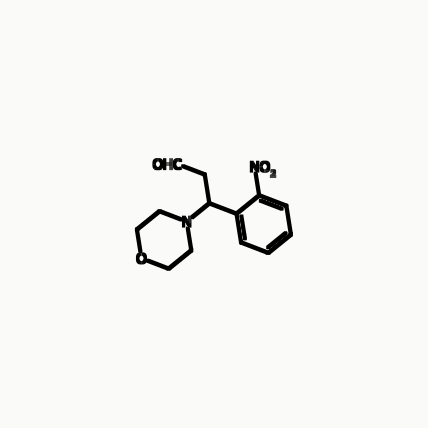 O=CCC(c1ccccc1[N+](=O)[O-])N1CCOCC1